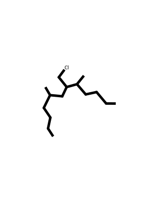 CCCCC(C)CC(CCl)C(C)CCCC